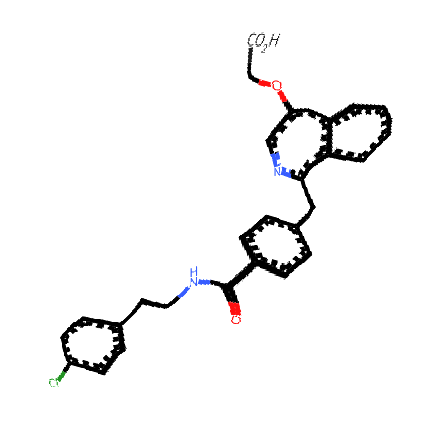 O=C(O)COc1cnc(Cc2ccc(C(=O)NCCc3ccc(Cl)cc3)cc2)c2ccccc12